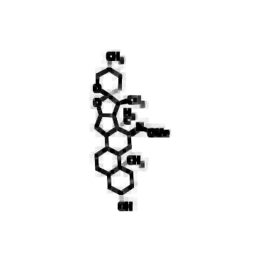 CON=C1CC2C(CCC3C[C@@H](O)CC[C@@]32C)C2CC3O[C@]4(CC[C@@H](C)CO4)[C@@H](C)C3[C@@]12C